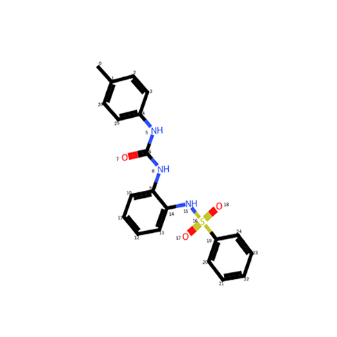 Cc1ccc(NC(=O)Nc2ccccc2NS(=O)(=O)c2ccccc2)cc1